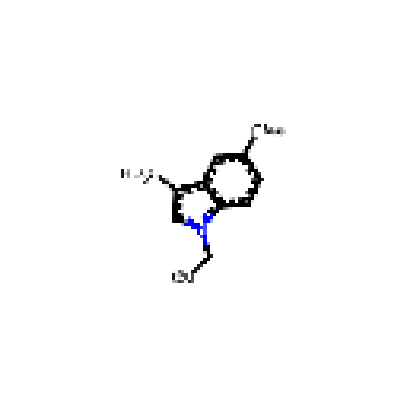 COc1ccc2c(c1)c(C(=O)O)cn2CC(C)(C)C